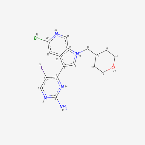 Nc1ncc(I)c(-c2cn(CC3CCOCC3)c3cnc(Br)cc23)n1